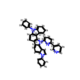 c1ccc(-n2ccc3c2ccc2c4ccc5c(c6ccccc6n5-c5ccccc5)c4n(-c4cccc(-c5cccnc5)n4)c23)cc1